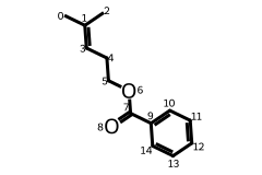 CC(C)=CCCOC(=O)c1ccccc1